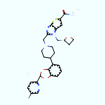 C[C@@]1(c2ccc(Cl)cn2)Oc2cccc(C3CCN(Cc4nc5sc(C(=O)NO)cc5n4C[C@@H]4CCO4)CC3)c2O1